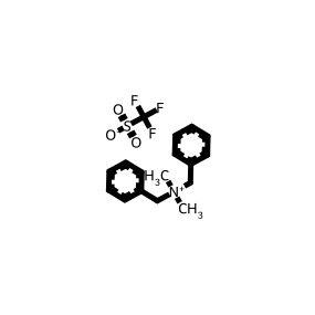 C[N+](C)(Cc1ccccc1)Cc1ccccc1.O=S(=O)([O-])C(F)(F)F